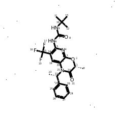 C[C@H]1Oc2nc(NC(=O)NC(C)(C)C)c(C(F)(F)F)cc2N([C@@H](C)c2ccccc2)C1=O